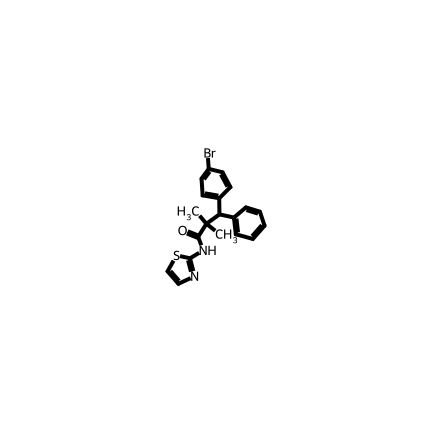 CC(C)(C(=O)Nc1nccs1)C(c1ccccc1)c1ccc(Br)cc1